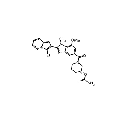 CCc1c(-c2nc3cc(C(=O)N4CCC[C@@H](OC(N)=O)C4)cc(OC)c3n2C)cc2cccnn12